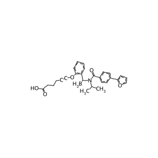 BC(c1ccccc1OCCCCCC(=O)O)N(C(=O)c1ccc(-c2ccco2)cc1)C(C)C